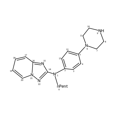 CCCCCN(c1ccc(N2CCNCC2)cc1)c1nc2ccccn2n1